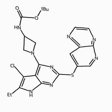 CCc1[nH]c2nc(Sc3cnc4nccnc4c3)nc(N3CC(NC(=O)OC(C)(C)C)C3)c2c1Cl